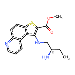 CC[C@@H](N)CNc1c(C(=O)OC)sc2ccc3ncccc3c12